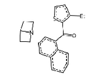 C1CN2CCC12.CCc1ccsc1C(=O)c1cccc2ccccc12